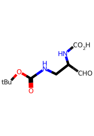 CC(C)(C)OC(=O)NCC(C=O)NC(=O)O